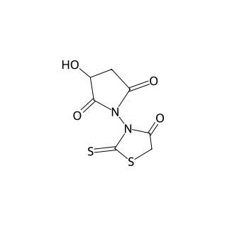 O=C1CC(O)C(=O)N1N1C(=O)CSC1=S